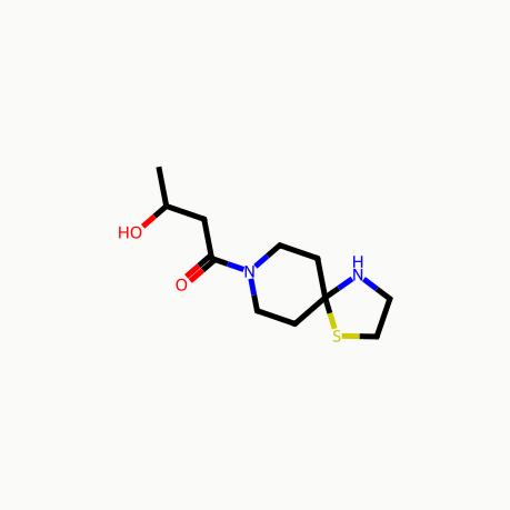 CC(O)CC(=O)N1CCC2(CC1)NCCS2